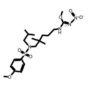 CO/C(=N\[N+](=O)[O-])NCCCC(C)(C)CN(CC(C)C)S(=O)(=O)c1ccc(OC)cc1